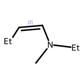 CC/C=C\N(C)CC